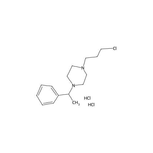 CC(c1ccccc1)N1CCN(CCCCl)CC1.Cl.Cl